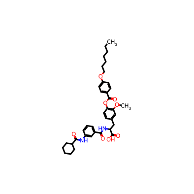 CCCCCCCOc1ccc(C(=O)Oc2ccc(CC(NC(=O)c3cccc(NC(=O)C4CCCCC4)c3)C(=O)O)cc2OC)cc1